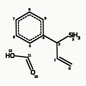 C=CC([SiH3])c1ccccc1.O=CO